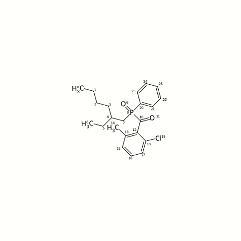 CCCCC(CC)CP(=O)(C(=O)c1c(C)cccc1Cl)c1ccccc1